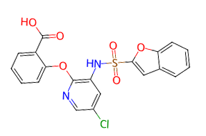 O=C(O)c1ccccc1Oc1ncc(Cl)cc1NS(=O)(=O)c1cc2ccccc2o1